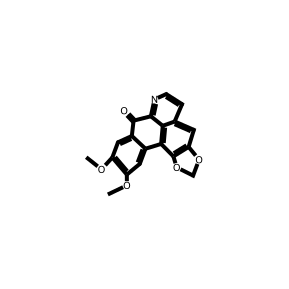 COc1cc2c(cc1OC)-c1c3c(cc4ccnc(c14)C2=O)OCO3